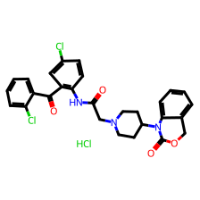 Cl.O=C(CN1CCC(N2C(=O)OCc3ccccc32)CC1)Nc1ccc(Cl)cc1C(=O)c1ccccc1Cl